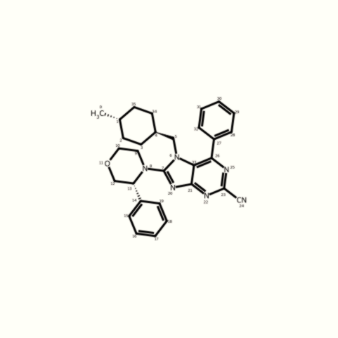 C[C@H]1CC[C@H](Cn2c(N3CCOC[C@H]3c3ccccc3)nc3nc(C#N)nc(-c4ccccc4)c32)CC1